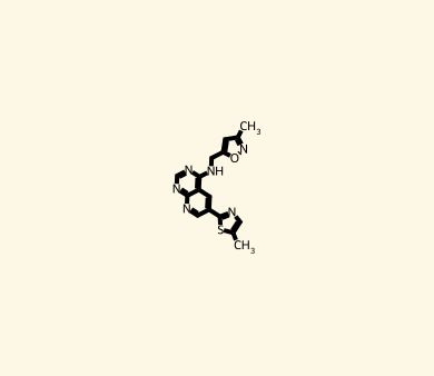 Cc1cc(CNc2ncnc3ncc(-c4ncc(C)s4)cc23)on1